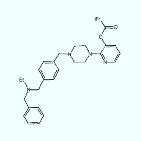 CCN(Cc1ccccc1)Cc1ccc(CN2CCN(c3ncccc3OC(=O)C(C)C)CC2)cc1